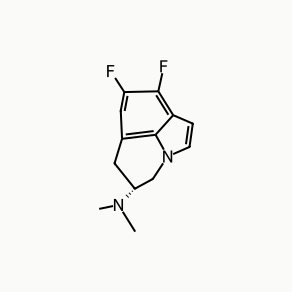 CN(C)[C@@H]1Cc2cc(F)c(F)c3ccn(c23)C1